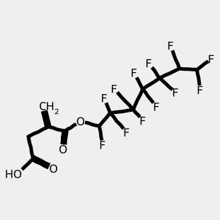 C=C(CC(=O)O)C(=O)OC(F)C(F)(F)C(F)(F)C(F)(F)C(F)(F)C(F)C(F)F